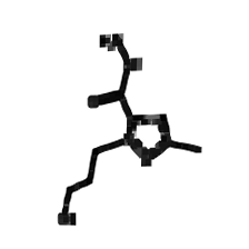 Cc1cc(C(=O)NN)n(CCCO)n1